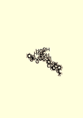 O=C(CCS(=O)(=O)c1ccccc1)N(CCCCc1cc(Cl)c(COC2(c3cnccc3-c3ccccc3OC3CC3)CC2)cc1Cl)C[C@H](O)[C@@H](O)[C@H](O)[C@H](O)CO